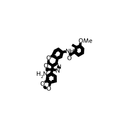 COc1cccc(C(=O)Nc2ccc3c(c2)C2=C(CO3)C(C(N)=O)(c3ccc4c(c3)OCO4)N=N2)c1C